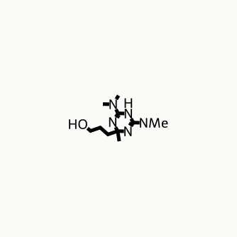 CNC1=NC(C)(CCCO)N=C(N(C)C)N1